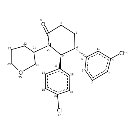 O=C1CC[C@H](c2cccc(Cl)c2)[C@@H](c2ccc(Cl)cc2)N1C1CCCOC1